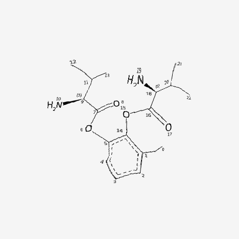 Cc1cccc(OC(=O)[C@@H](N)C(C)C)c1OC(=O)[C@@H](N)C(C)C